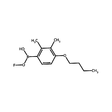 CCCCOc1ccc(B(O)OF)c(C)c1C